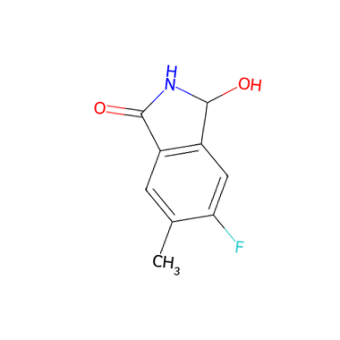 Cc1cc2c(cc1F)C(O)NC2=O